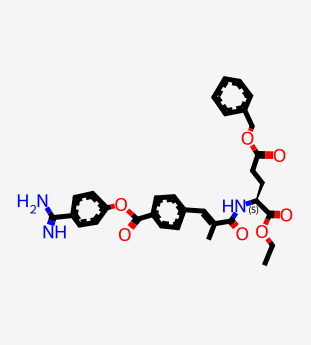 CCOC(=O)[C@H](CCC(=O)OCc1ccccc1)NC(=O)C(C)=Cc1ccc(C(=O)Oc2ccc(C(=N)N)cc2)cc1